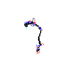 Cc1[nH]c(/C=C2\C(=O)Nc3ccc(F)cc32)c(C)c1C(=O)NCCCN1CCN(C(=O)CCCCCCCCCC(=O)NCC(=O)N2CC[C@@H](O)C2)CC1